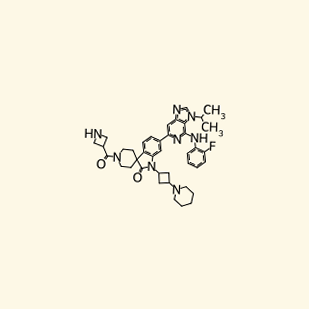 CC(C)n1cnc2cc(-c3ccc4c(c3)N(C3CC(N5CCCCC5)C3)C(=O)C43CCN(C(=O)C4CNC4)CC3)nc(Nc3ccccc3F)c21